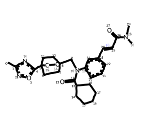 Cc1noc(C23CCC(CN(C(=O)C4CCCCC4)c4cccc(/C=C/C(=O)N(C)C)c4)(CC2)CC3)n1